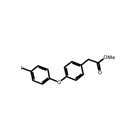 COC(=O)Cc1ccc(Oc2ccc(I)cc2)cc1